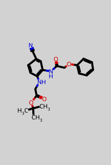 CC(C)(C)OC(=O)CNc1ccc(C#N)cc1NC(=O)COc1ccccc1